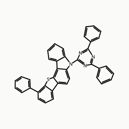 c1ccc(-c2nc(-c3ccccc3)nc(-n3c4ccccc4c4c5sc6c(-c7ccccc7)cccc6c5ccc43)n2)cc1